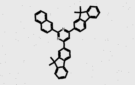 CC1(C)c2ccccc2-c2ccc(-c3cc(-c4ccc5c(c4)C(C)(C)c4ccccc4-5)nc(-c4ccc5ccccc5c4)n3)cc21